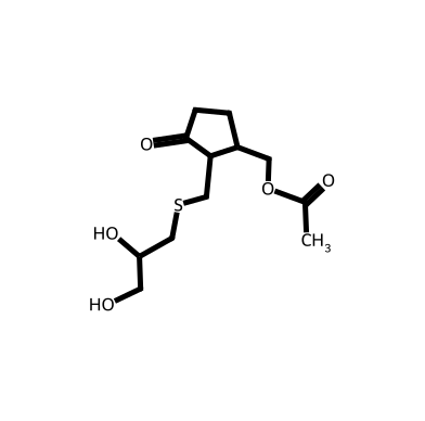 CC(=O)OCC1CCC(=O)C1CSCC(O)CO